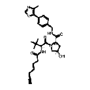 C#CCCCCC(=O)N[C@H](C(=O)N1C[C@H](O)C[C@H]1C(=O)NCc1ccc(-c2scnc2C)cc1)C(C)(C)C